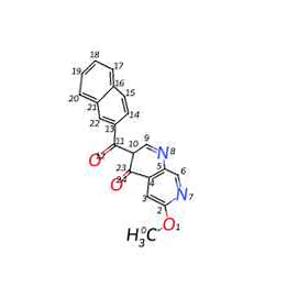 COc1cc2c(cn1)N=CC(C(=O)c1ccc3ccccc3c1)C2=O